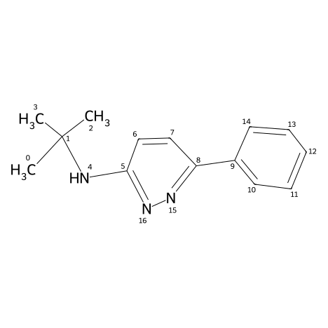 CC(C)(C)Nc1ccc(-c2ccccc2)nn1